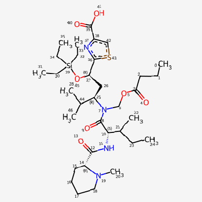 CCCC(=O)OCN(C(=O)[C@@H](NC(=O)[C@H]1CCCCN1C)C(C)CC)[C@H](C[C@@H](O[Si](CC)(CC)CC)c1nc(C(=O)O)cs1)C(C)C